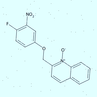 O=[N+]([O-])c1cc(OCc2ccc3ccccc3[n+]2[O-])ccc1F